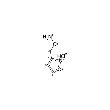 Cl.NOCc1ccon1